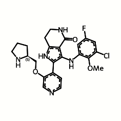 COc1c(Cl)cc(F)cc1Nc1c(-c2ccncc2OC[C@@H]2CCCN2)[nH]c2c1C(=O)NCC2